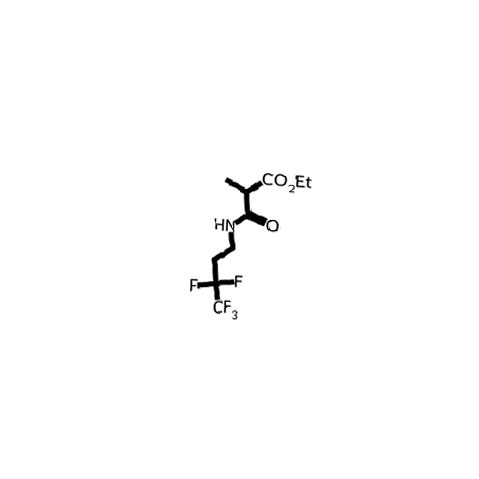 CCOC(=O)C(C)C(=O)NCCC(F)(F)C(F)(F)F